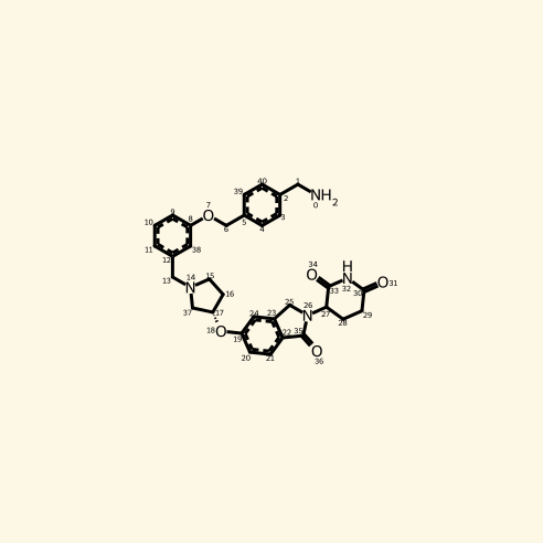 NCc1ccc(COc2cccc(CN3CC[C@H](Oc4ccc5c(c4)CN(C4CCC(=O)NC4=O)C5=O)C3)c2)cc1